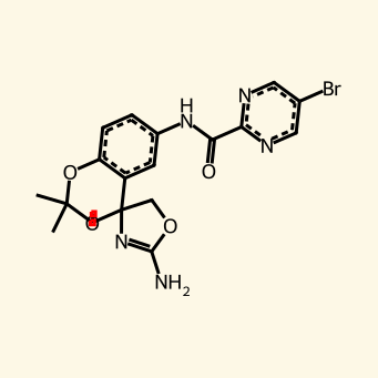 CC1(C)Oc2ccc(NC(=O)c3ncc(Br)cn3)cc2C2(COC(N)=N2)C12COC2